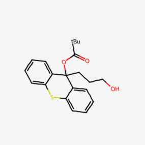 CC(C)(C)C(=O)OC1(CCCO)c2ccccc2Sc2ccccc21